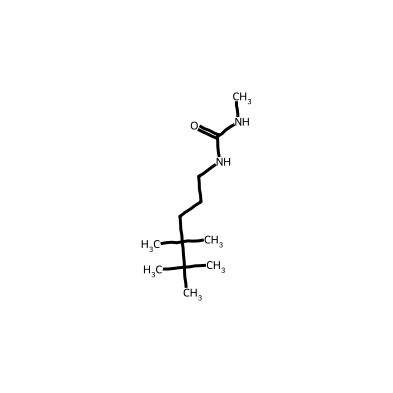 CNC(=O)NCCCC(C)(C)C(C)(C)C